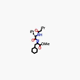 COC(=O)/C(CC1CCCCC1)=N/C(=O)[C@H](CC(C)C)NC(=O)CC(C)C